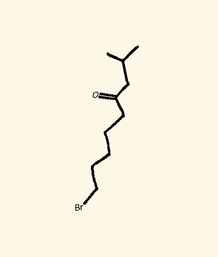 C[C](C)CC(=O)CCCCCBr